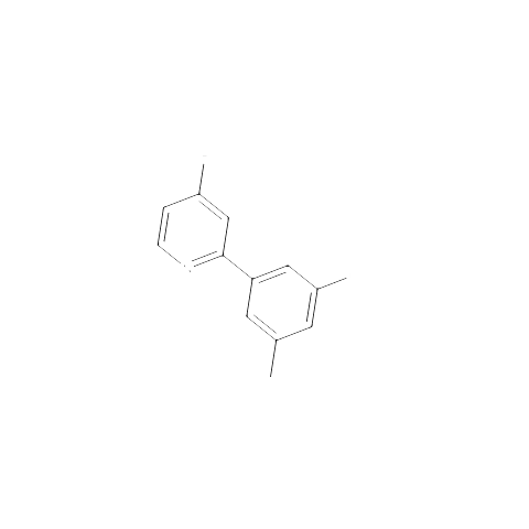 Cc1cc(-c2cc(F)ccn2)cc(C(F)(F)F)c1